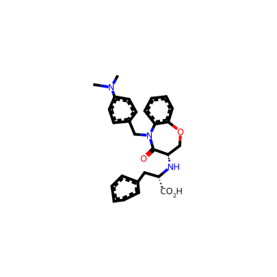 CN(C)c1ccc(CN2C(=O)[C@@H](N[C@@H](Cc3ccccc3)C(=O)O)COc3ccccc32)cc1